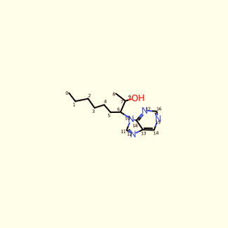 CCCCCCC(C(C)O)n1cnc2cncnc21